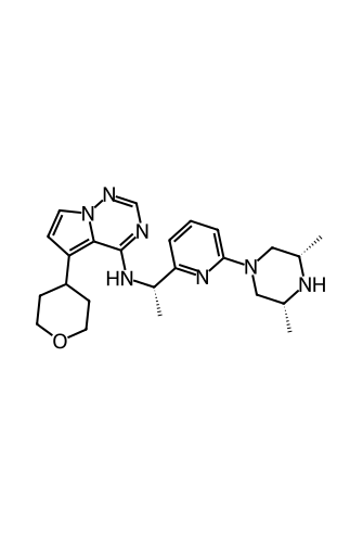 C[C@@H]1CN(c2cccc([C@H](C)Nc3ncnn4ccc(C5CCOCC5)c34)n2)C[C@H](C)N1